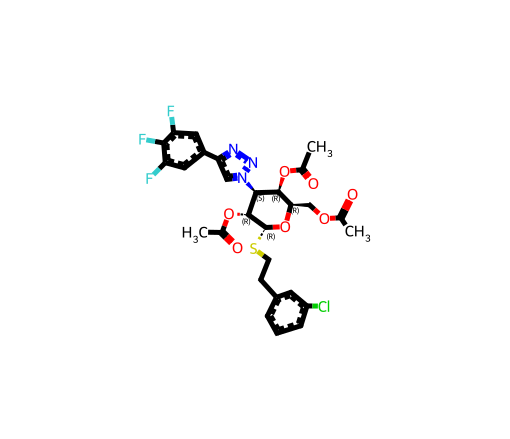 CC(=O)OC[C@H]1O[C@H](SCCc2cccc(Cl)c2)[C@H](OC(C)=O)[C@@H](n2cc(-c3cc(F)c(F)c(F)c3)nn2)[C@H]1OC(C)=O